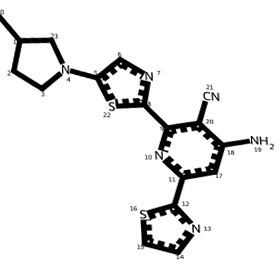 CC1CCN(c2cnc(-c3nc(-c4nccs4)cc(N)c3C#N)s2)C1